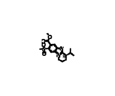 COC(=O)c1cc2nc3n(c2cc1S(C)(=O)=O)CCC[C@@H]3C(C)C